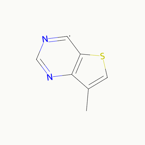 Cc1csc2[c]ncnc12